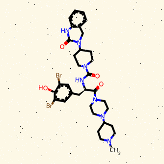 CN1CCC(N2CCN(C(=O)[C@@H](Cc3cc(Br)c(O)c(Br)c3)NC(=O)N3CCC(N4Cc5ccccc5NC4=O)CC3)CC2)CC1